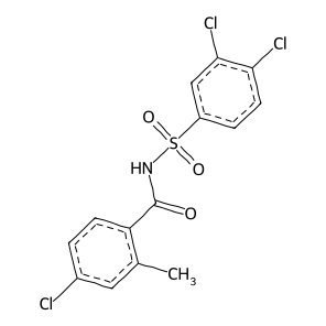 Cc1cc(Cl)ccc1C(=O)NS(=O)(=O)c1ccc(Cl)c(Cl)c1